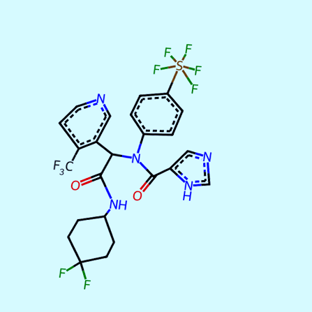 O=C(NC1CCC(F)(F)CC1)C(c1cnccc1C(F)(F)F)N(C(=O)c1cnc[nH]1)c1ccc(S(F)(F)(F)(F)F)cc1